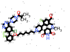 C=C(C)C(=O)N1CCN(c2ncnc3c(F)c(-c4c(F)cccc4OCCCCCCCN4CCC(c5cc(CN(C)C6CCC(=O)NC6=O)c(C=O)cc5F)CC4)c(Cl)cc23)CC1